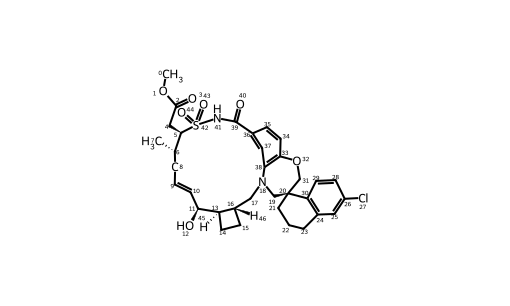 COC(=O)C[C@@H]1[C@@H](C)C/C=C/[C@H](O)[C@@H]2CC[C@H]2CN2C[C@@]3(CCCc4cc(Cl)ccc43)COc3ccc(cc32)C(=O)NS1(=O)=O